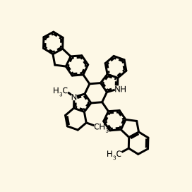 CC1CC=CC2=C1c1ccc(C3c4[nH]c5ccccc5c4C(c4ccc5c(c4)Cc4ccccc4-5)c4c3c3c(n4C)C=CCC3C)cc1C2